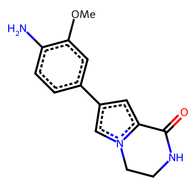 COc1cc(-c2cc3n(c2)CCNC3=O)ccc1N